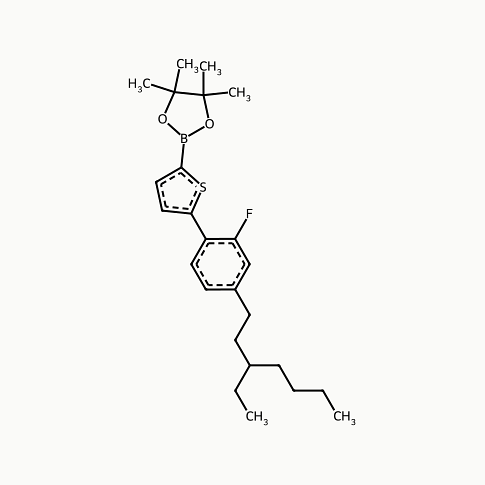 CCCCC(CC)CCc1ccc(-c2ccc(B3OC(C)(C)C(C)(C)O3)s2)c(F)c1